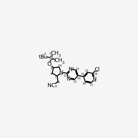 CC(C)(C)[Si](C)(C)OC1CC(CC#N)N(c2ncc(-c3ccnc(Cl)c3)cn2)C1